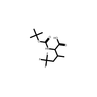 CC(CC(F)(F)F)C(NC(=O)OC(C)(C)C)C(=O)O